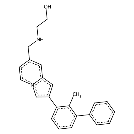 Cc1c(-c2ccccc2)cccc1-c1cc2cc(CNCCO)ccn2c1